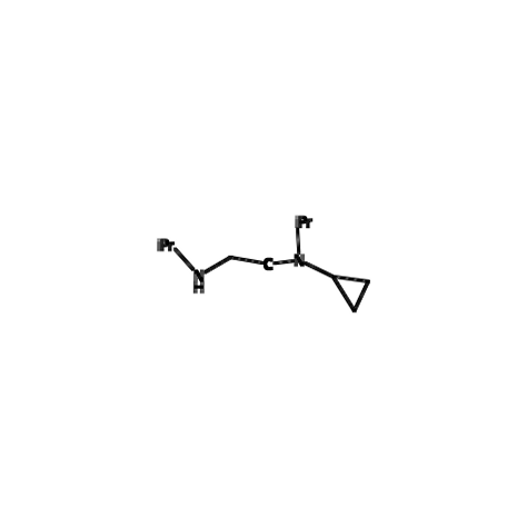 CC(C)NCCN(C(C)C)C1CC1